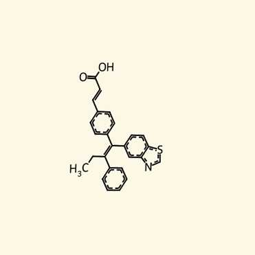 CCC(=C(c1ccc(C=CC(=O)O)cc1)c1ccc2scnc2c1)c1ccccc1